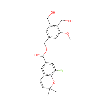 COc1cc(COC(=O)c2cc([18F])c3c(c2)C=CC(C)(C)O3)cc(CO)c1CO